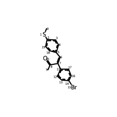 CSc1ccc(C=C(C(C)=O)c2ccc(Br)cc2)cc1